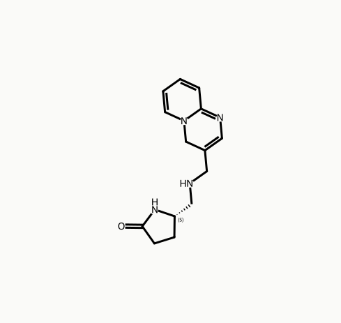 O=C1CC[C@@H](CNCC2=CN=C3C=CC=CN3C2)N1